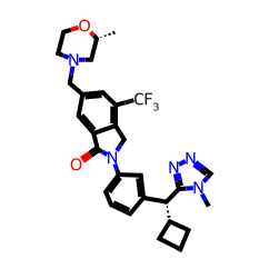 C[C@@H]1CN(Cc2cc3c(c(C(F)(F)F)c2)CN(c2cccc([C@H](c4nncn4C)C4CCC4)c2)C3=O)CCO1